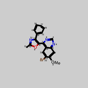 COc1cc2ncnc(-c3oc(C)nc3-c3ccccc3)c2cc1Br